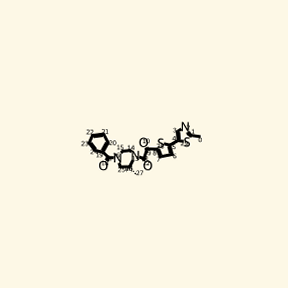 Cc1ncc(-c2ccc(C(=O)C(=O)N3CCN(C(=O)c4ccccc4)C[C@H]3C)s2)s1